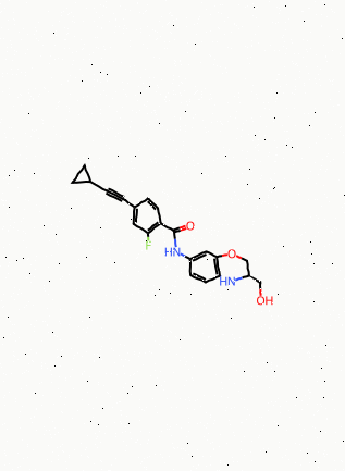 O=C(Nc1ccc2c(c1)OC[C@@H](CO)N2)c1ccc(C#CC2CC2)cc1F